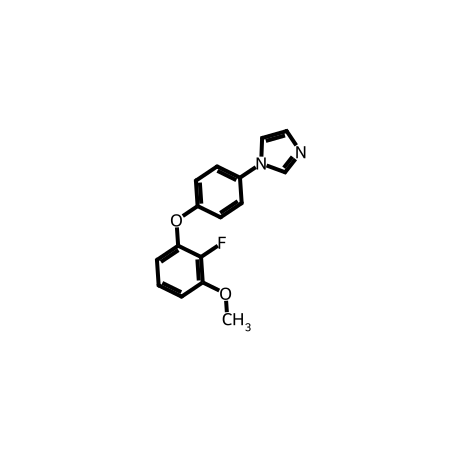 COc1cccc(Oc2ccc(-n3ccnc3)cc2)c1F